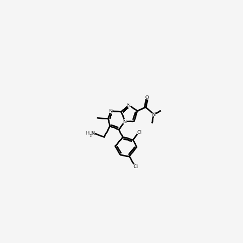 Cc1nc2nc(C(=O)N(C)C)cn2c(-c2ccc(Cl)cc2Cl)c1CN